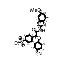 CCS(=O)(=O)c1ccc(C(Oc2ccc(C#N)cc2)C(=O)Nc2nc3ccc(OC)cc3s2)cc1